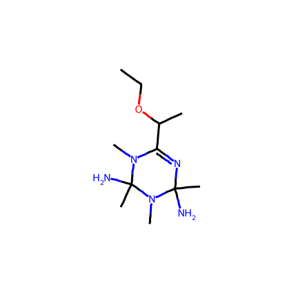 CCOC(C)C1=NC(C)(N)N(C)C(C)(N)N1C